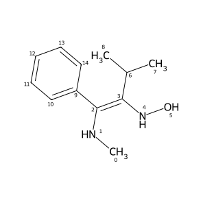 CN/C(=C(\NO)C(C)C)c1ccccc1